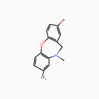 CN1Cc2cc(Br)ccc2Oc2ccc(C(F)(F)F)cc21